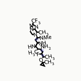 CN/C(=C\C(=N)C(=N)C(C)/C(N)=C\C(F)=C(/C)OC1(C)CC1)N1CCn2nc(C(F)(F)F)nc2C1C